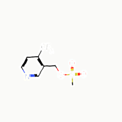 CS(=O)(=O)OCc1cnccc1C(F)(F)F